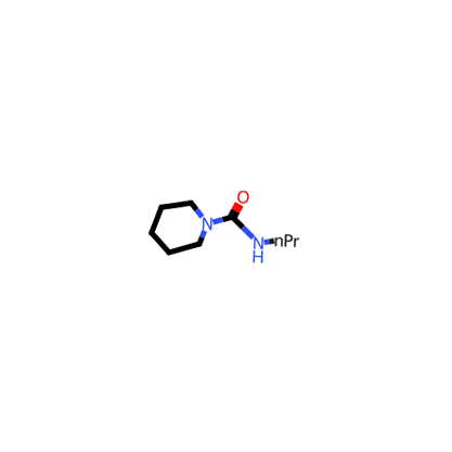 CCCNC(=O)N1CCCCC1